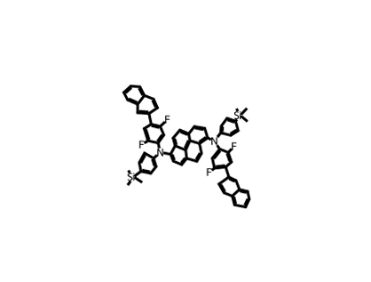 C[Si](C)(C)c1ccc(N(c2cc(F)c(-c3ccc4ccccc4c3)cc2F)c2ccc3ccc4c(N(c5ccc([Si](C)(C)C)cc5)c5cc(F)c(-c6ccc7ccccc7c6)cc5F)ccc5ccc2c3c54)cc1